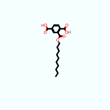 CCCCCCCCCCOC(=O)c1cc(C(=O)O)ccc1C(=O)O